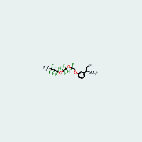 CC(C)C[C@H](c1cccc(OCC(F)(F)OC(F)(F)C(F)(F)OC(F)(F)C(F)(F)C(F)(F)C(F)(F)F)c1)S(=O)(=O)O